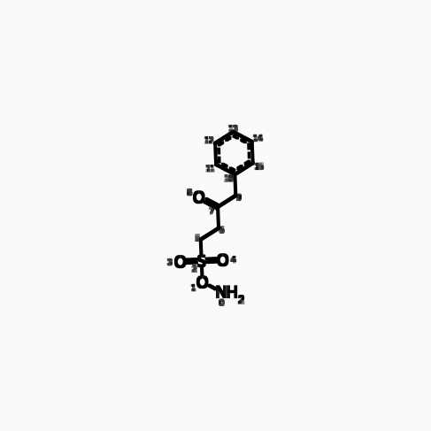 NOS(=O)(=O)CCC(=O)Cc1ccccc1